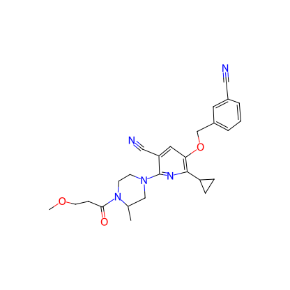 COCCC(=O)N1CCN(c2nc(C3CC3)c(OCc3cccc(C#N)c3)cc2C#N)CC1C